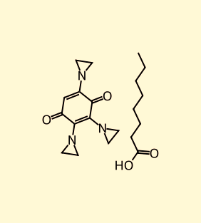 CCCCCCCC(=O)O.O=C1C=C(N2CC2)C(=O)C(N2CC2)=C1N1CC1